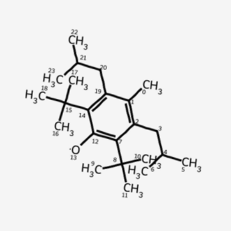 Cc1c(CC(C)C)c(C(C)(C)C)c([O])c(C(C)(C)C)c1CC(C)C